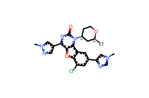 CC[C@H]1C[C@@H](n2c(=O)nc(-c3cnn(C)c3)c3oc4c(Cl)cc(-c5cn(C)cn5)cc4c32)CCO1